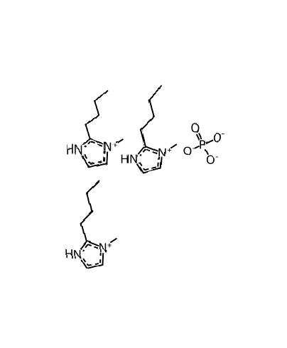 CCCCc1[nH]cc[n+]1C.CCCCc1[nH]cc[n+]1C.CCCCc1[nH]cc[n+]1C.O=P([O-])([O-])[O-]